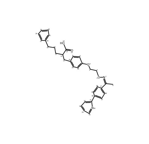 C/C(=N/OCCOc1ccc(CC(CCCc2ccccc2)C(=O)O)cc1)c1ccc(-c2ccccn2)cc1